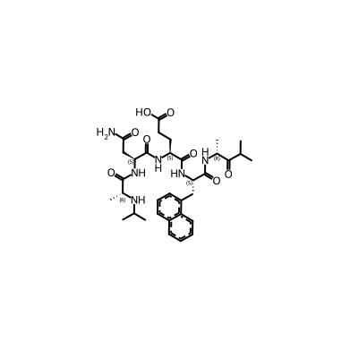 CC(C)N[C@H](C)C(=O)N[C@@H](CC(N)=O)C(=O)N[C@@H](CCC(=O)O)C(=O)N[C@@H](Cc1cccc2ccccc12)C(=O)N[C@H](C)C(=O)C(C)C